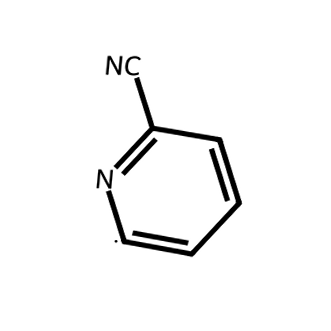 N#Cc1ccc[c]n1